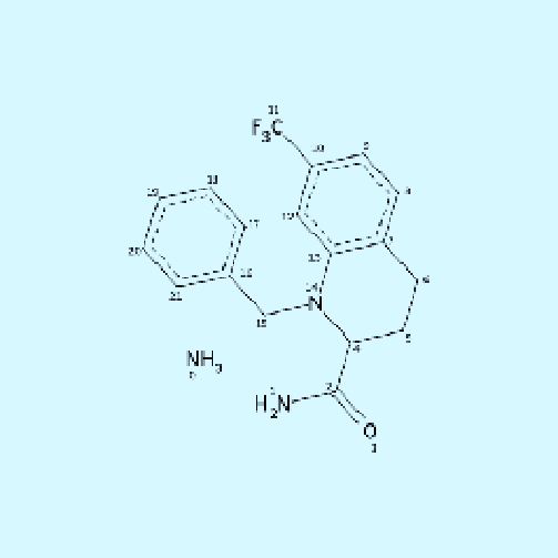 N.NC(=O)C1CCc2ccc(C(F)(F)F)cc2N1Cc1ccccc1